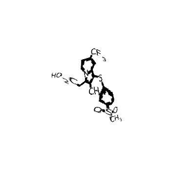 Cc1c(Sc2ccc(S(C)(=O)=O)cc2)c2cc(C(F)(F)F)ccn2c1CC(=O)O